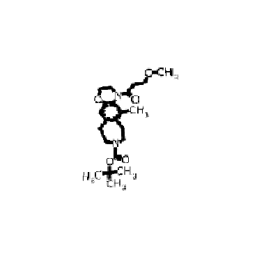 COCCC(=O)N1CCOc2cc3c(c(C)c21)CCN(C(=O)OC(C)(C)C)CC3